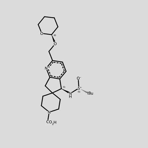 CC(C)(C)[S@@+]([O-])N[C@@H]1c2ccc(CO[C@@H]3CCCCO3)nc2CC12CCN(C(=O)O)CC2